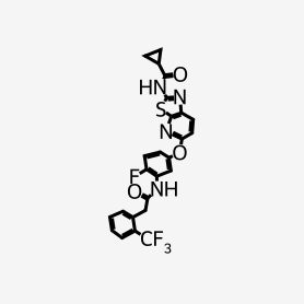 O=C(Cc1ccccc1C(F)(F)F)Nc1cc(Oc2ccc3nc(NC(=O)C4CC4)sc3n2)ccc1F